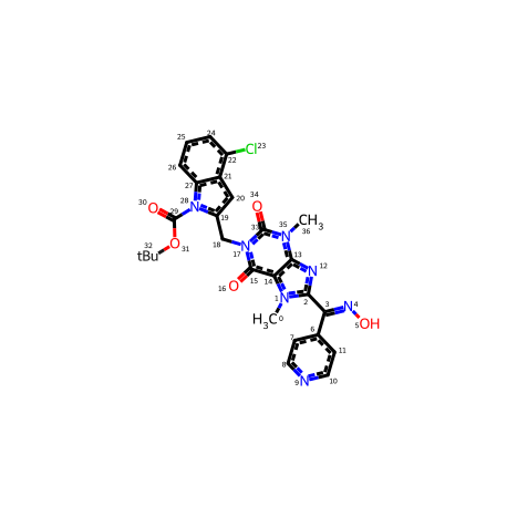 Cn1c(C(=NO)c2ccncc2)nc2c1c(=O)n(Cc1cc3c(Cl)cccc3n1C(=O)OC(C)(C)C)c(=O)n2C